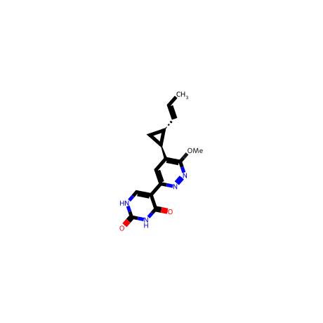 C/C=C/[C@H]1C[C@@H]1c1cc(-c2c[nH]c(=O)[nH]c2=O)nnc1OC